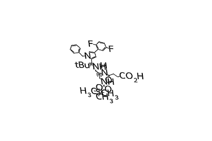 CC(C)(C)[C@@H](NC[C@H](CNC(=O)O[Si](C)(C)C)NC(=O)CCC(=O)O)c1cc(-c2cc(F)ccc2F)cn1Cc1ccccc1